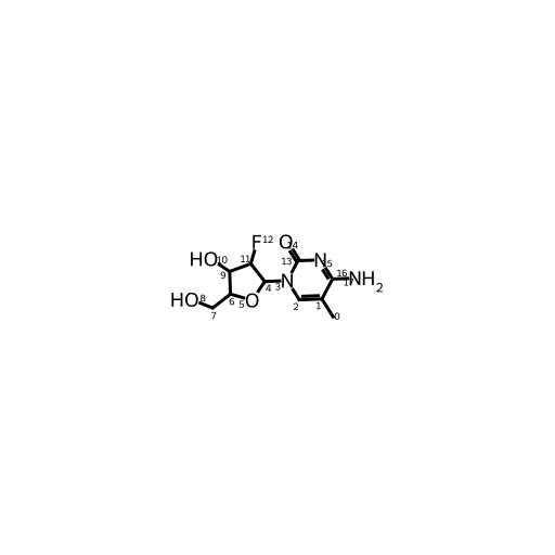 Cc1cn(C2OC(CO)C(O)C2F)c(=O)nc1N